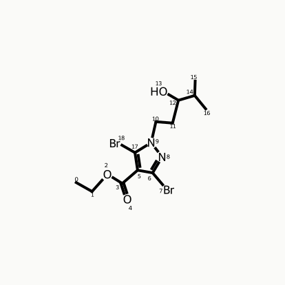 CCOC(=O)c1c(Br)nn(CCC(O)C(C)C)c1Br